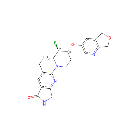 CCc1cc2c(nc1N1CC[C@@H](Oc3cnc4c(c3)COC4)[C@H](F)C1)CNC2=O